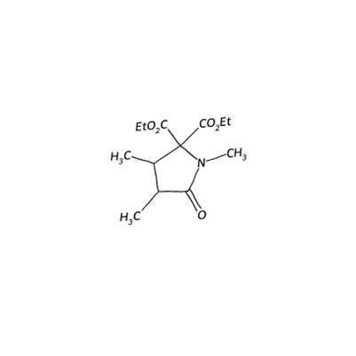 CCOC(=O)C1(C(=O)OCC)C(C)C(C)C(=O)N1C